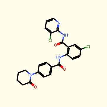 O=C(Nc1ccc(Cl)cc1C(=O)Nc1ncccc1Cl)c1ccc(N2CCCCC2=O)cc1